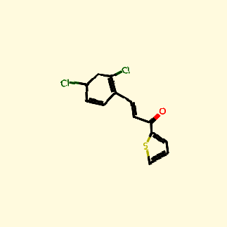 O=C(/C=C/C1=C(Cl)CC(Cl)C=C1)c1cccs1